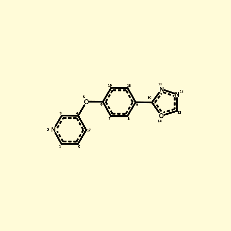 c1cncc(Oc2ccc(-c3nnco3)cc2)c1